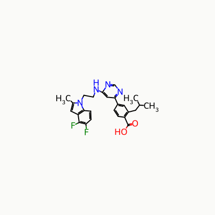 Cc1cc2c(F)c(F)ccc2n1CCNc1cc(-c2ccc(C(=O)O)c(CC(C)C)c2)ncn1